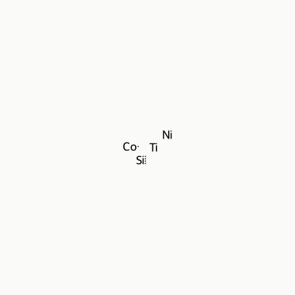 [Co].[Ni].[Si].[Ti]